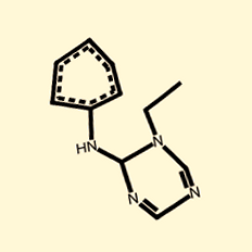 CCN1C=NC=NC1Nc1ccccc1